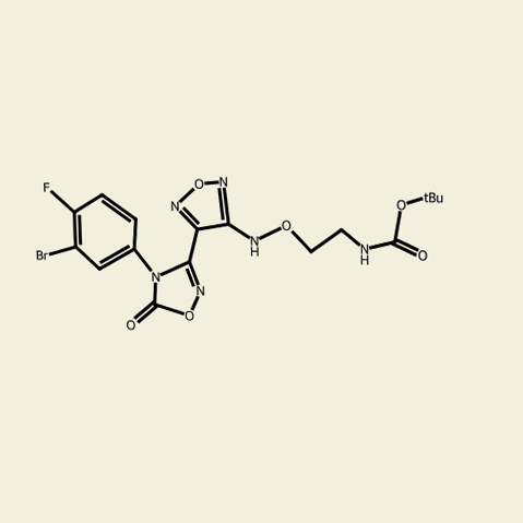 CC(C)(C)OC(=O)NCCONc1nonc1-c1noc(=O)n1-c1ccc(F)c(Br)c1